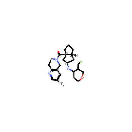 O=C(N1CCc2ncc(C(F)(F)F)cc2C1)[C@@]12CCC[C@@H]1C[C@@H](NC1CCOCC1CF)C2